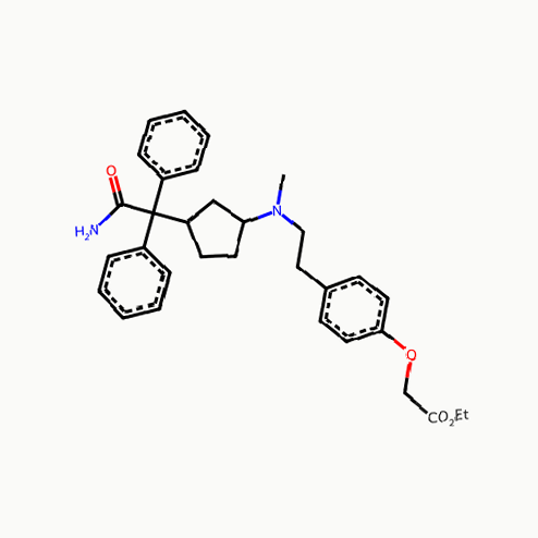 CCOC(=O)COc1ccc(CCN(C)C2CCC(C(C(N)=O)(c3ccccc3)c3ccccc3)C2)cc1